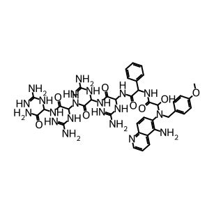 COc1ccc(CN(c2ccc3ncccc3c2N)C(O)C(=O)NC(C(=O)NC(NC(=N)N)C(=O)NC(NC(=N)N)C(=O)NC(NC(=N)N)C(=O)NC(NC(=N)N)C(N)=O)c2ccccc2)cc1